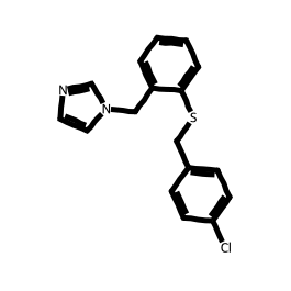 Clc1ccc(CSc2ccccc2Cn2ccnc2)cc1